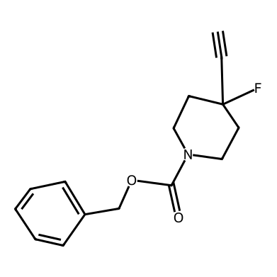 C#CC1(F)CCN(C(=O)OCc2ccccc2)CC1